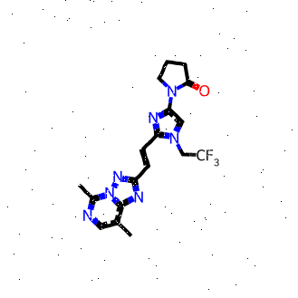 Cc1cnc(C)n2nc(/C=C/c3nc(N4CCCC4=O)cn3CC(F)(F)F)nc12